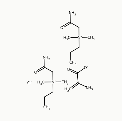 C=C(C)C(=O)[O-].CCC[N+](C)(C)CC(N)=O.CCC[N+](C)(C)CC(N)=O.[Cl-]